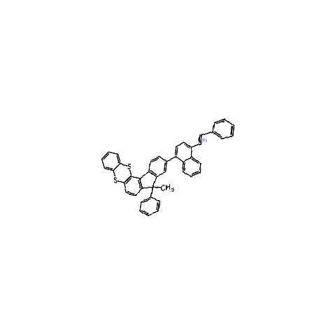 CC1(c2ccccc2)c2cc(-c3ccc(/C=C/c4ccccc4)c4ccccc34)ccc2-c2c1ccc1c2Sc2ccccc2S1